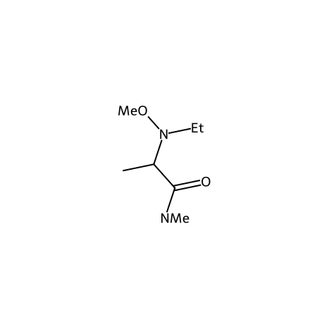 CCN(OC)C(C)C(=O)NC